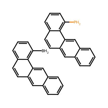 Bc1cccc2ccc3cc4ccccc4cc3c12.Pc1cccc2ccc3cc4ccccc4cc3c12